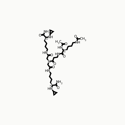 CC(=O)NCCCC[C@H](NC(C)=O)C(=O)NCCC(=O)N(CC(=O)NCCCC[C@H](NC1CC1)C(N)=O)CC(=O)NCCCC[C@H](NC1CC1)C(N)=O